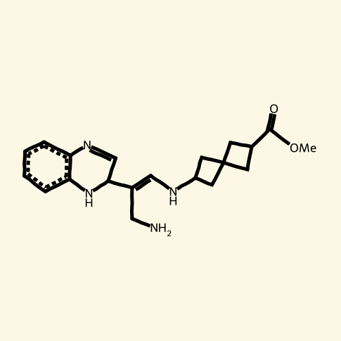 COC(=O)C1CC2(CC(N/C=C(\CN)C3C=Nc4ccccc4N3)C2)C1